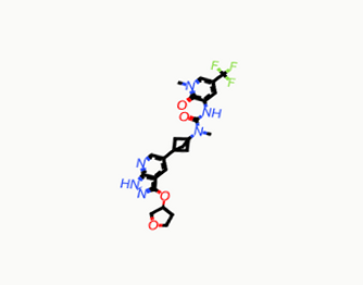 CN(C(=O)Nc1cc(C(F)(F)F)cn(C)c1=O)C12CC(c3cnc4[nH]nc(O[C@H]5CCOC5)c4c3)(C1)C2